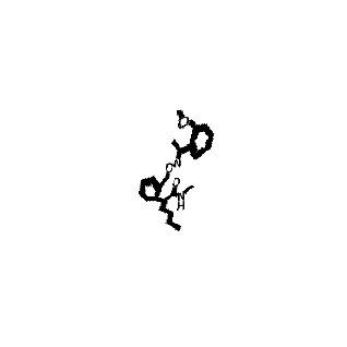 CCC/C=C(\C(=O)NC)c1ccccc1CO/N=C(\C)c1ccccc1OC